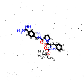 CC(C)(C)OC(=O)N[C@H](Cc1ccccc1)C(=O)N1CCC[C@H]1C(=O)NCc1ccc(C(=N)N)cc1